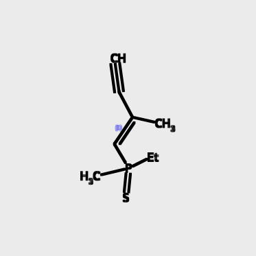 C#C/C(C)=C/P(C)(=S)CC